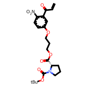 C=CC(=O)c1cc(OCCCOC(=O)[C@@H]2CCCN2C(=O)OC(C)(C)C)ccc1[N+](=O)[O-]